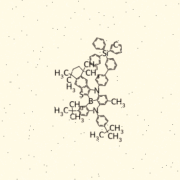 Cc1cc2c3c(c1)N(c1ccc(-c4cccc([Si](c5ccccc5)(c5ccccc5)c5ccccc5)c4)cc1)c1c(sc4cc5c(cc14)C(C)(C)CCC5(C)C)B3c1cc(C(C)(C)C)ccc1N2c1ccc(C(C)(C)C)cc1